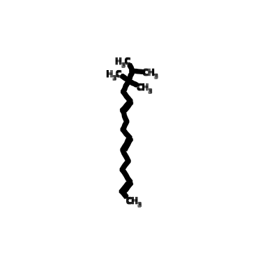 C/C=C/CC/C=C/CC/C=C/CC(C)(C)[C](C)C